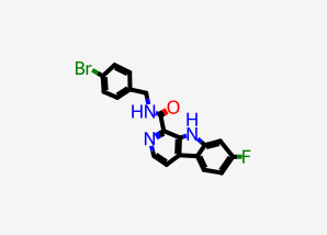 O=C(NCc1ccc(Br)cc1)c1nccc2c1[nH]c1cc(F)ccc12